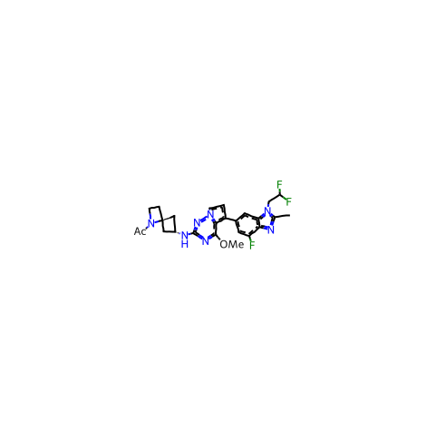 COc1nc(N[C@H]2C[C@@]3(CCN3C(C)=O)C2)nn2ccc(-c3cc(F)c4nc(C)n(CC(F)F)c4c3)c12